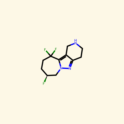 F[C@H]1CCC(F)(F)c2c3c(nn2C1)CCNC3